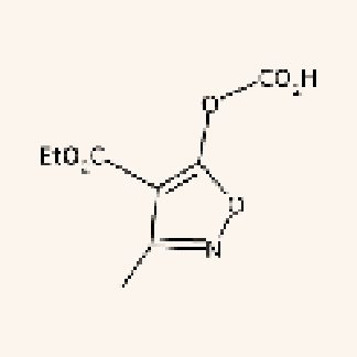 CCOC(=O)c1c(C)noc1OC(=O)O